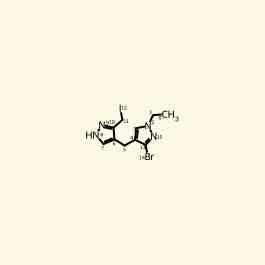 CCn1cc(Cc2c[nH]nc2CI)c(Br)n1